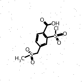 CS(=O)(=O)Cc1ccc(C(=O)O)c(S(=O)(=O)Cl)c1